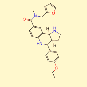 CCOc1ccc(C2Nc3ccc(C(=O)N(C)Cc4ccco4)cc3[C@H]3NCC[C@@H]23)cc1